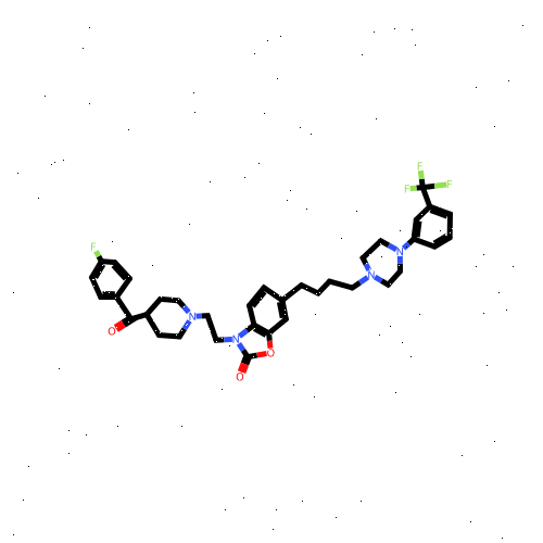 O=C(c1ccc(F)cc1)C1CCN(CCn2c(=O)oc3cc(CCCCN4CCN(c5cccc(C(F)(F)F)c5)CC4)ccc32)CC1